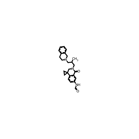 CC(CN1CCc2ccccc2C1)CN1CC2(CC2)c2ccc(NC=O)cc2C1=O